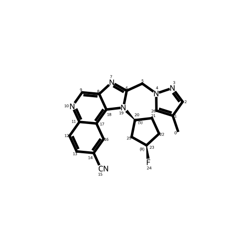 Cc1cnn(Cc2nc3cnc4ccc(C#N)cc4c3n2[C@H]2CC[C@@H](F)C2)c1